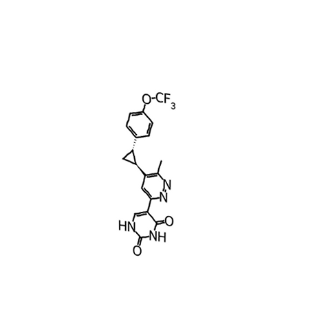 Cc1nnc(-c2c[nH]c(=O)[nH]c2=O)cc1[C@H]1C[C@@H]1c1ccc(OC(F)(F)F)cc1